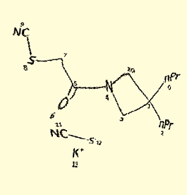 CCCC1(CCC)CN(C(=O)CSC#N)C1.N#C[S-].[K+]